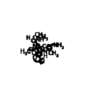 COC(=O)c1nc(C(=O)NC(C)(C)C)ccc1-c1cc2c(cc1C(=O)Nc1c(C)cc(CN)cc1C)-c1sccc1CCO2